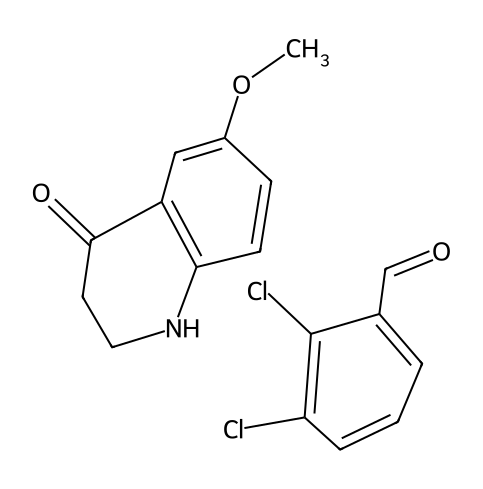 COc1ccc2c(c1)C(=O)CCN2.O=Cc1cccc(Cl)c1Cl